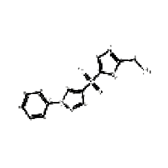 NCc1ncc(S(=O)(=O)c2cnn(-c3ccccc3)c2)s1